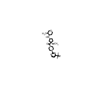 CC[C@]1(C(=O)N2CCN(c3nccc(C(F)(F)F)n3)CC2)CC[C@@H](N[C@@H]2CCOCC2C)C1